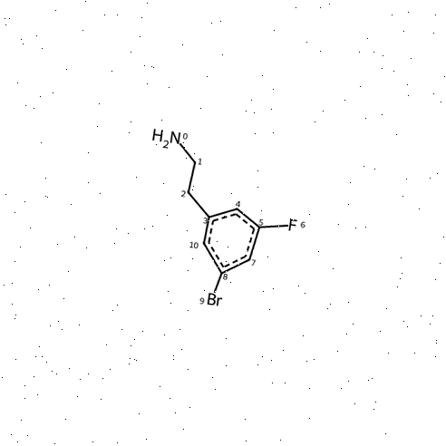 NCCc1cc(F)cc(Br)c1